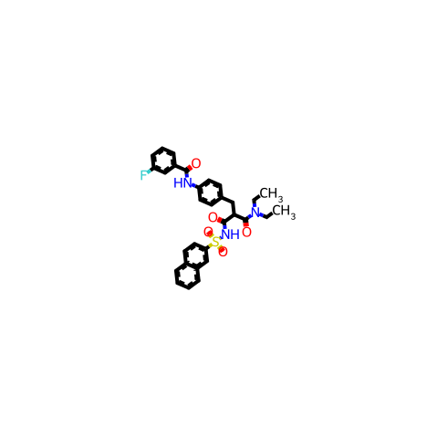 CCN(CC)C(=O)C(Cc1ccc(NC(=O)c2cccc(F)c2)cc1)C(=O)NS(=O)(=O)c1ccc2ccccc2c1